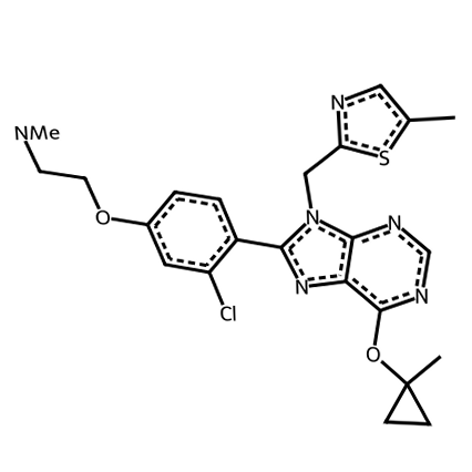 CNCCOc1ccc(-c2nc3c(OC4(C)CC4)ncnc3n2Cc2ncc(C)s2)c(Cl)c1